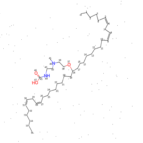 CCCCC/C=C\C/C=C\CCCCCCCCC(CCCCCCCC/C=C\C/C=C\CCCCC)OCCN(C)CCNC(=O)O